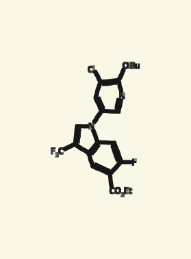 CCOC(=O)c1cc2c(C(F)(F)F)cn(-c3cnc(OCC(C)C)c(Cl)c3)c2cc1F